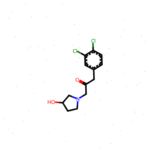 O=C(Cc1ccc(Cl)c(Cl)c1)CN1CCC(O)C1